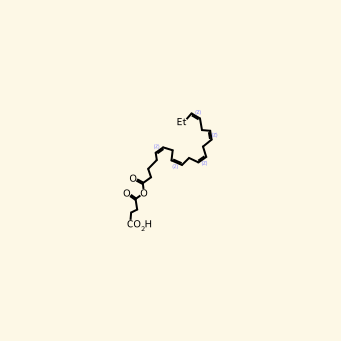 CC/C=C\C/C=C\C/C=C\C/C=C\C/C=C\CCCC(=O)OC(=O)CCC(=O)O